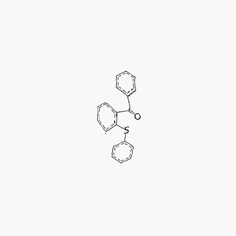 O=C(c1ccccc1)c1ccc[c]c1Sc1ccccc1